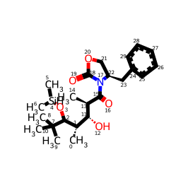 C[C@H](C(O[SiH](C)C)C(C)(C)C)[C@@H](O)[C@@H](C)C(=O)N1C(=O)OC[C@H]1Cc1ccccc1